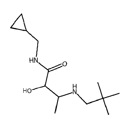 CC(NCC(C)(C)C)C(O)C(=O)NCC1CC1